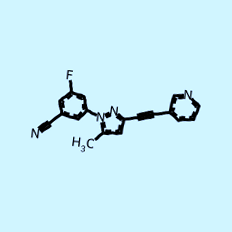 Cc1cc(C#Cc2cccnc2)nn1-c1cc(F)cc(C#N)c1